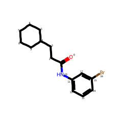 O=C(CCC1CCCCC1)Nc1cccc(Br)c1